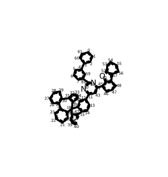 c1ccc(-c2cccc(-c3nc(-c4ccc5c(c4)C4(c6ccccc6-c6ccccc6-c6ccccc64)c4ccccc4-5)cc(-c4cccc5c4oc4ccccc45)n3)c2)cc1